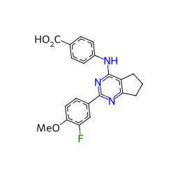 COc1ccc(-c2nc3c(c(Nc4ccc(C(=O)O)cc4)n2)CCC3)cc1F